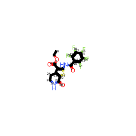 CCOC(=O)c1c(NC(=O)c2c(F)c(F)c(F)c(F)c2F)sc2c1CCNC2=O